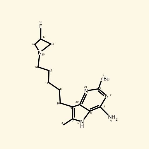 CCCCc1nc(N)c2[nH]c(C)c(CCCCCN3CC(F)C3)c2n1